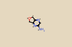 Nc1cnc2c(n1)COC2